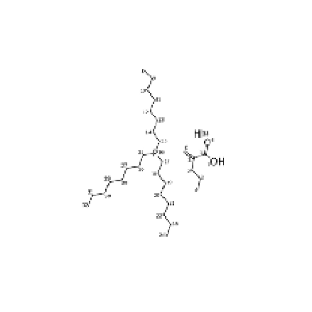 C=C(CCC)C(=O)O.CCCCCCCCP(CCCCCCCC)CCCCCCCC.I